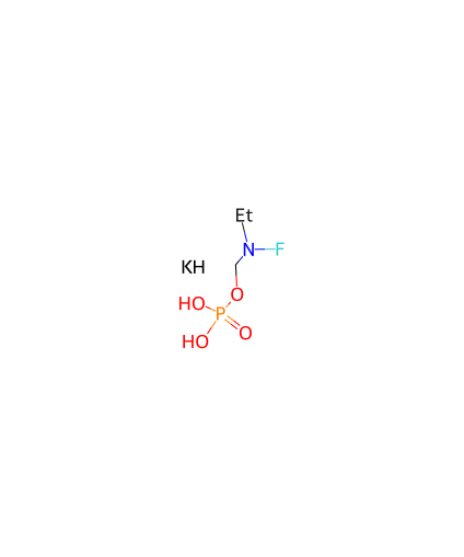 CCN(F)COP(=O)(O)O.[KH]